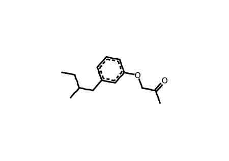 CCC(C)Cc1cccc(OCC(C)=O)c1